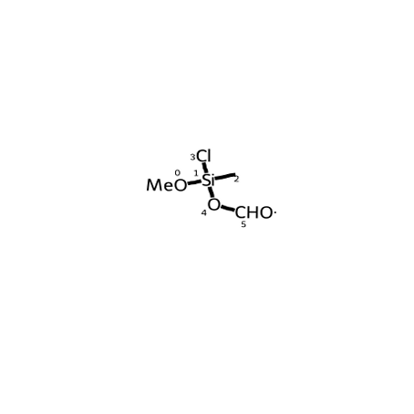 CO[Si](C)(Cl)O[C]=O